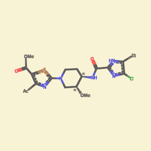 CCc1[nH]c(C(=O)N[C@@H]2CCN(c3nc(C(C)=O)c(C(=O)OC)s3)C[C@@H]2OC)nc1Cl